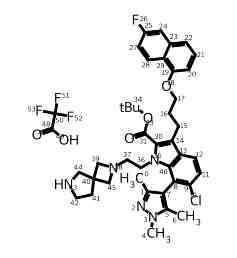 Cc1nn(C)c(C)c1-c1c(Cl)ccc2c(CCCOc3cccc4cc(F)ccc34)c(C(=O)OC(C)(C)C)n(CCN3CC4(CCNC4)C3)c12.O=C(O)C(F)(F)F